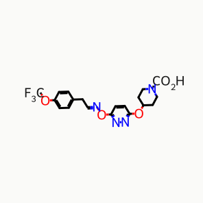 O=C(O)N1CCC(Oc2ccc(ON=CCc3ccc(OC(F)(F)F)cc3)nn2)CC1